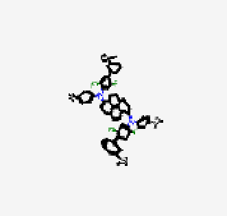 C[Si](C)(C)c1ccc(N(c2cc(F)c(-c3cccc([Si](C)(C)C)c3)cc2F)c2ccc3ccc4c(N(c5ccc([Si](C)(C)C)cc5)c5cc(F)c(-c6cccc([Si](C)(C)C)c6)cc5F)ccc5ccc2c3c54)cc1